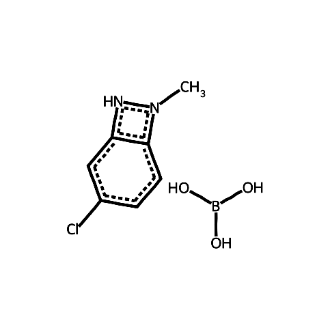 Cn1[nH]c2cc(Cl)ccc21.OB(O)O